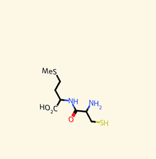 CSCCC(NC(=O)C(N)CS)C(=O)O